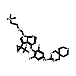 C[Si](C)(C)CCOCn1cc(C2(C(F)(F)F)CC2)c2c(Oc3c(F)cc(NC4=NCC5(CCOCC5)CO4)cc3F)ccnc21